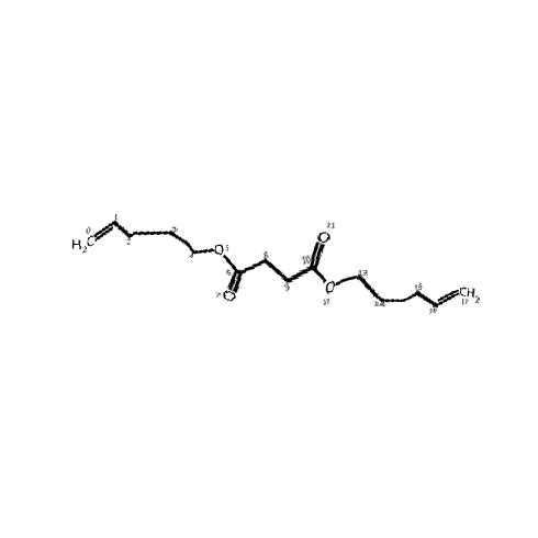 C=CCCCOC(=O)CCC(=O)OCCCC=C